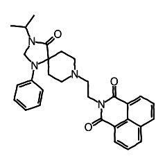 CC(C)N1CN(c2ccccc2)C2(CCN(CCN3C(=O)c4cccc5cccc(c45)C3=O)CC2)C1=O